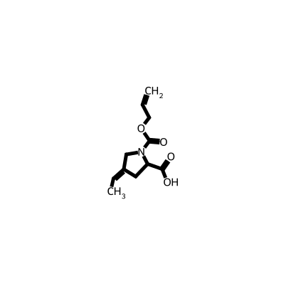 C=CCOC(=O)N1C/C(=C/C)CC1C(=O)O